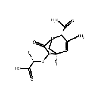 CC1=C[C@@H]2CN(C(=O)N2O[C@@H](F)C(=O)O)[C@@H]1C(N)=O